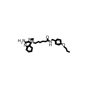 CCCCOc1ccc(CNC(=O)CCCCCn2cnc3c(N)nc4ccccc4c32)cc1